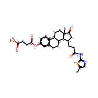 Cc1cnc(NC(=O)CCC2CC(=O)C3(C)CCC4c5ccc(OC(=O)CCC(=O)O)cc5CCC4C23)s1